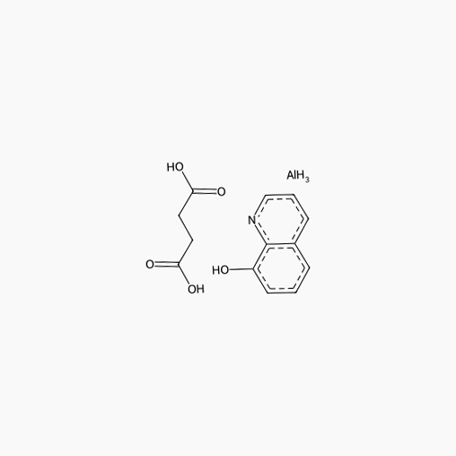 O=C(O)CCC(=O)O.Oc1cccc2cccnc12.[AlH3]